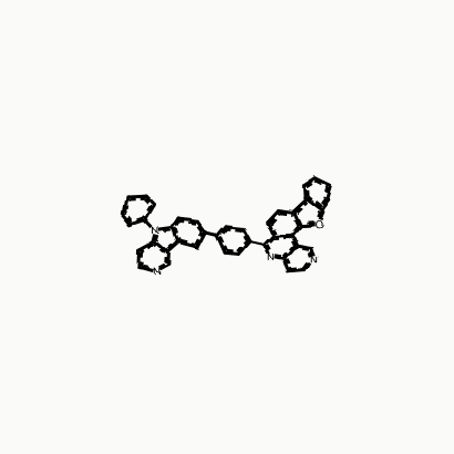 c1ccc(-n2c3ccncc3c3cc(-c4ccc(-c5nc6ccncc6c6c5ccc5c7ccccc7oc56)cc4)ccc32)cc1